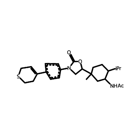 CC(=O)NC1CC(C)(C2CN(c3ccc(C4=CCSCC4)cc3)C(=O)O2)CCC1C(C)C